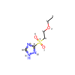 CCOCCS(=O)(=O)c1nc[nH]n1